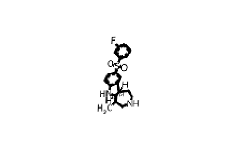 CC1CNCC[C@H]2c3cc(S(=O)(=O)c4cccc(F)c4)ccc3N[C@H]12